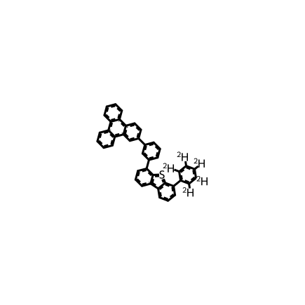 [2H]c1c([2H])c([2H])c(-c2cccc3c2sc2c(-c4cccc(-c5ccc6c7ccccc7c7ccccc7c6c5)c4)cccc23)c([2H])c1[2H]